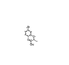 CC(Oc1cccc(Br)c1)C(=O)O